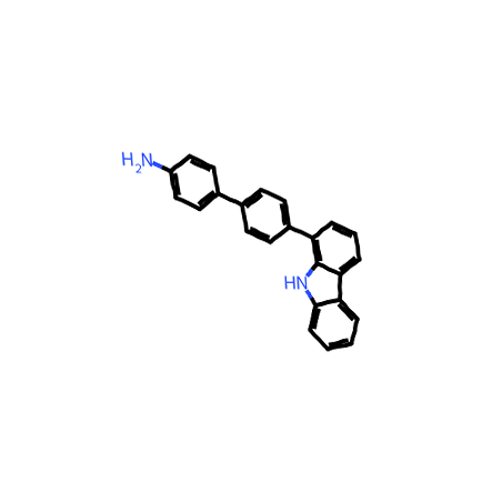 Nc1ccc(-c2ccc(-c3cccc4c3[nH]c3ccccc34)cc2)cc1